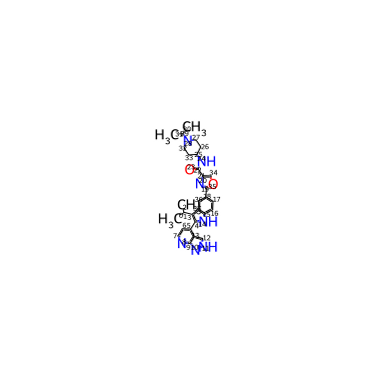 CC(C)c1c(-c2ccnc3n[nH]cc23)[nH]c2ccc(-c3nc(C(=O)NC4CCN(C(C)C)CC4)co3)cc12